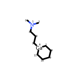 CN(C)CC[CH2][Ga]1[CH2]CCC[CH2]1